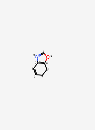 C1=Cc2ncoc2CC1